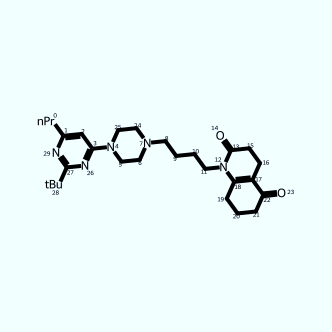 CCCc1cc(N2CCN(CCCCN3C(=O)CCC4=C3CCCC4=O)CC2)nc(C(C)(C)C)n1